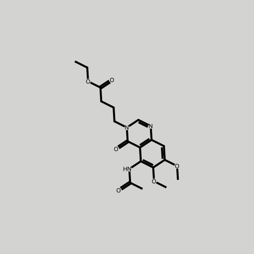 CCOC(=O)CCCn1cnc2cc(OC)c(OC)c(NC(C)=O)c2c1=O